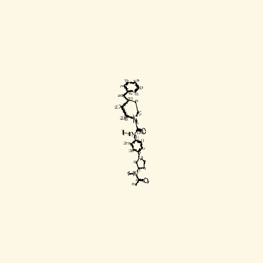 CC(=O)N(C)C1CCN(c2ccc(NC(=O)N3CCC(Cc4ccccc4)CC3)cc2)C1